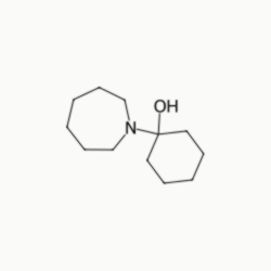 OC1(N2CCCCCC2)CCCCC1